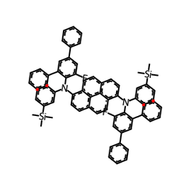 C[Si](C)(C)c1cccc(N(c2c(F)cc(-c3ccccc3)cc2-c2ccccc2)c2ccc3ccc4c(N(c5cccc([Si](C)(C)C)c5)c5c(F)cc(-c6ccccc6)cc5-c5ccccc5)ccc5ccc2c3c54)c1